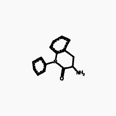 NC1Cc2ccccc2N(c2ccccc2)C1=O